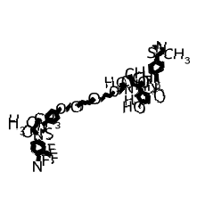 Cc1ncsc1-c1ccc(CNC(=O)[C@@H]2C[C@@H](O)CC2C(=O)[C@@H](NC(=O)COCCCOCCOCCOc2ccc(N3C(=S)N(c4ccc(C#N)c(C(F)(F)F)c4)C(=O)C3(C)C)cc2)C(C)(C)C)cc1